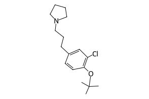 CC(C)(C)Oc1ccc(CCCN2CCCC2)cc1Cl